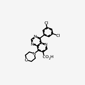 O=C(O)c1cnc2c(-c3cc(Cl)cc(Cl)c3)ncnc2c1N1CCOCC1